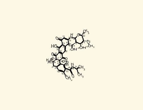 CO[C@@H]1[C@@H](O)[C@@H](CO)C(NC2=CC(=O)c3c(cc4c(c3O)C(=O)[C@]3(OC)[C@H](O)Cc5cc(C)c(C(=O)NC(C)C)c(O)c5[C@]3(O)C4=O)C2=O)O[C@H]1C